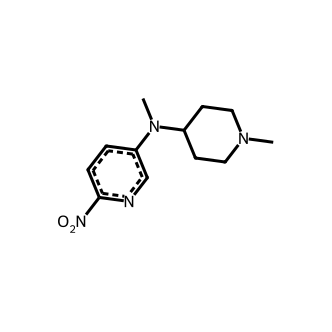 CN1CCC(N(C)c2ccc([N+](=O)[O-])nc2)CC1